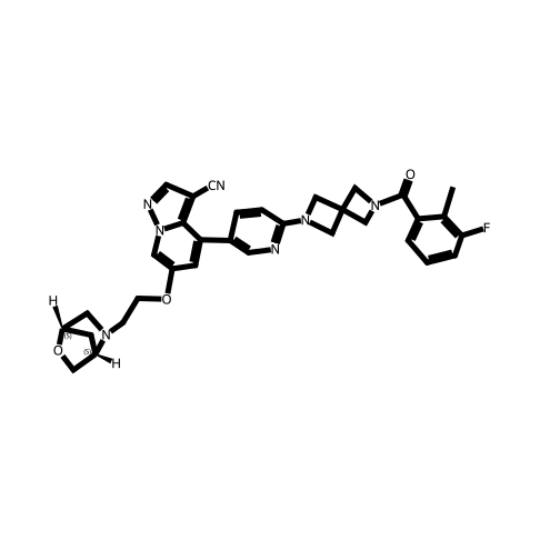 Cc1c(F)cccc1C(=O)N1CC2(C1)CN(c1ccc(-c3cc(OCCN4C[C@@H]5C[C@H]4CO5)cn4ncc(C#N)c34)cn1)C2